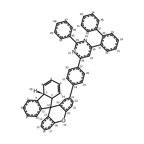 C1=CC2[C@@H](C=C1)c1ccccc1C21c2ccccc2Oc2ccc(-c3ccc(-c4cc(-c5ccccc5-c5ccccc5)nc(-c5ccccc5)n4)cc3)cc21